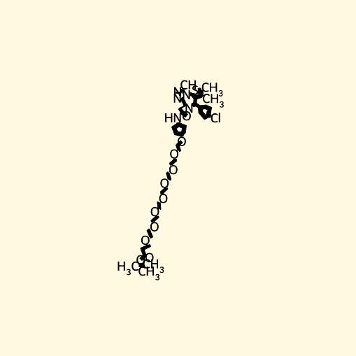 Cc1sc2c(c1C)C(c1ccc(Cl)cc1)=N[C@@H](CC(=O)Nc1ccc(OCCOCCOCCOCCOCCOCCOCCOCCC(=O)OC(C)(C)C)cc1)c1nnc(C)n1-2